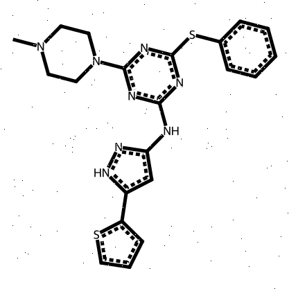 CN1CCN(c2nc(Nc3cc(-c4cccs4)[nH]n3)nc(Sc3ccccc3)n2)CC1